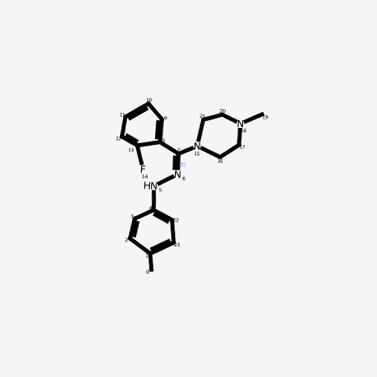 Cc1ccc(N/N=C(\c2ccccc2F)N2CCN(C)CC2)cc1